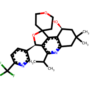 CC(C)c1nc2c(c3c1[C@@H](c1ccc(C(F)(F)F)nc1)OC31CCOCC1)[C@@H](O)CC(C)(C)C2